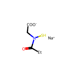 CCC(=O)N(S)CC(=O)[O-].[Na+]